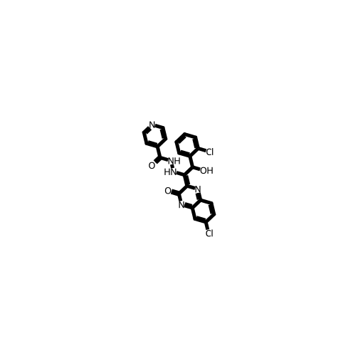 O=C1N=c2cc(Cl)ccc2=NC1=C(NNC(=O)c1ccncc1)C(O)c1ccccc1Cl